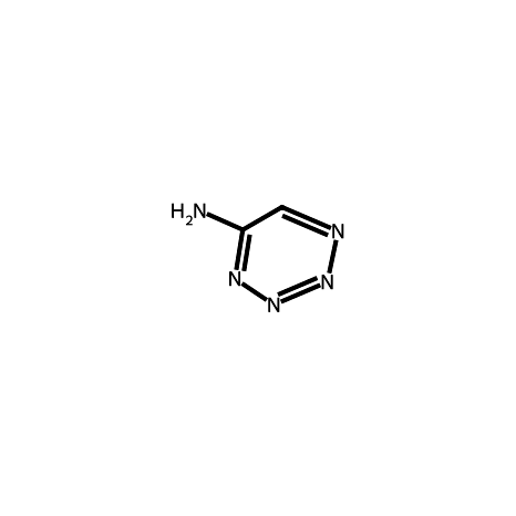 Nc1cnnnn1